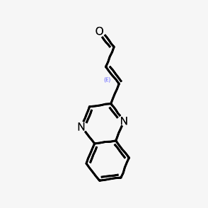 O=C/C=C/c1cnc2ccccc2n1